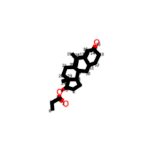 CCC(=O)OC1CCC2C3CC4CCC(=O)C=C4C(C)=C3CCC12C